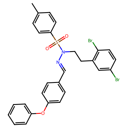 Cc1ccc(S(=O)(=O)N(CCc2cc(Br)ccc2Br)/N=C/c2ccc(Oc3ccccc3)cc2)cc1